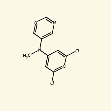 CN(c1cncnc1)c1cc(Cl)nc(Cl)c1